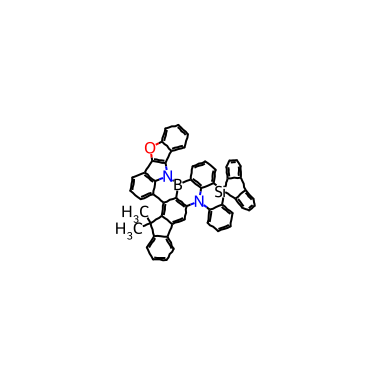 CC1(C)c2ccccc2-c2cc3c4c(c21)-c1cccc2c5oc6ccccc6c5n(c12)B4c1cccc2c1N3c1ccccc1[Si]21c2ccccc2-c2ccccc21